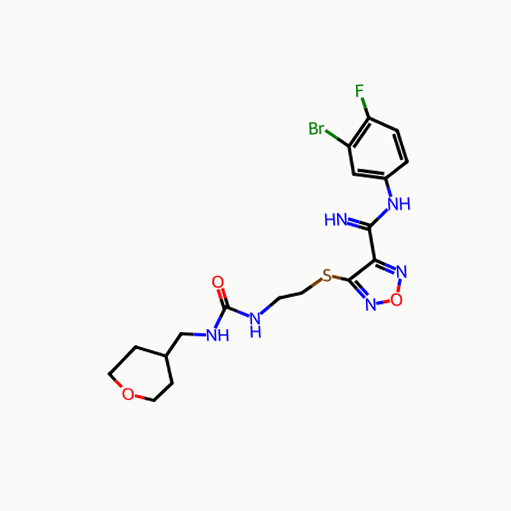 N=C(Nc1ccc(F)c(Br)c1)c1nonc1SCCNC(=O)NCC1CCOCC1